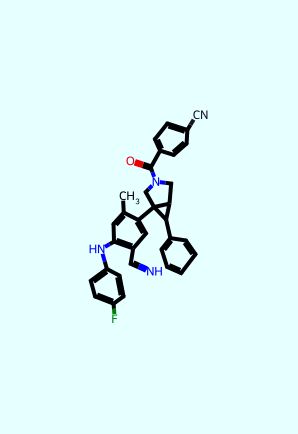 Cc1cc(Nc2ccc(F)cc2)c(C=N)cc1C12CN(C(=O)c3ccc(C#N)cc3)CC1C2c1ccccc1